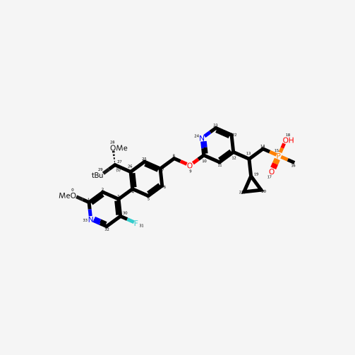 COc1cc(-c2ccc(COc3cc(C(CP(C)(=O)O)C4CC4)ccn3)cc2[C@@H](OC)C(C)(C)C)c(F)cn1